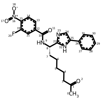 CC(=O)CCCCC[C@H](NC(=O)c1ccc([N+](=O)[O-])c(F)c1)c1ncc(-c2ccccc2)[nH]1